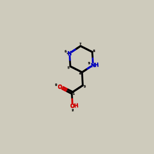 O=C(O)CC1C[N]CCN1